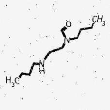 CCCCNCCN(C=O)CCCC